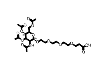 CC(=O)NC1C(OC(C)=O)[C@@H](OC(C)=O)C(COC(C)=O)O[C@H]1OCCOCCOCCOCCC(=O)O